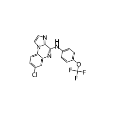 FC(F)(F)Oc1ccc(Nc2nc3cc(Cl)ccc3n3ccnc23)cc1